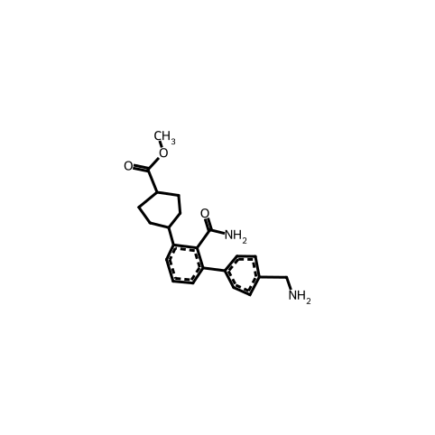 COC(=O)C1CCC(c2cccc(-c3ccc(CN)cc3)c2C(N)=O)CC1